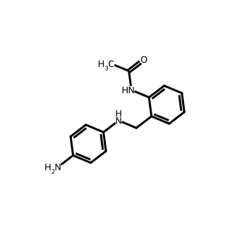 CC(=O)Nc1ccccc1CNc1ccc(N)cc1